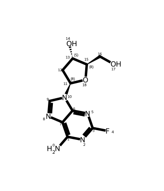 Nc1nc(F)nc2c1ncn2[C@H]1C[C@H](O)[C@@H]([CH]O)O1